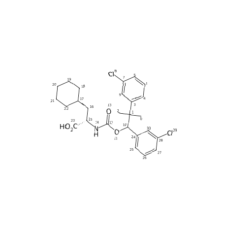 CC(C)(c1cccc(Cl)c1)C(OC(=O)N[C@@H](CC1CCCCC1)C(=O)O)c1cccc(Cl)c1